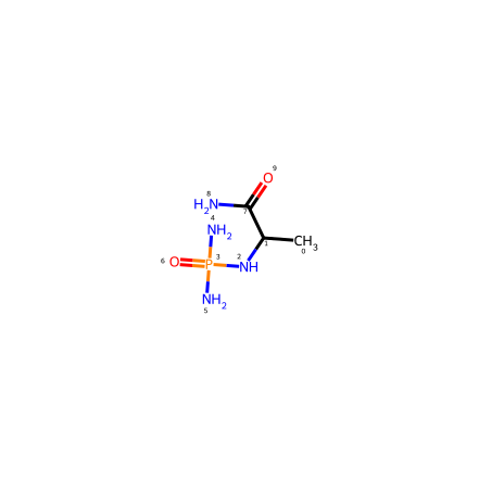 CC(NP(N)(N)=O)C(N)=O